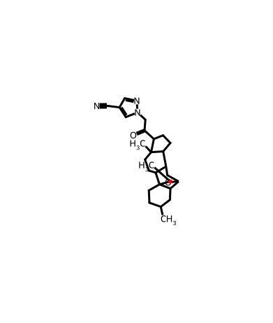 CC1CCC23C(C)OC(CC4C5CCC(C(=O)Cn6cc(C#N)cn6)C5(C)CCC42)C3C1